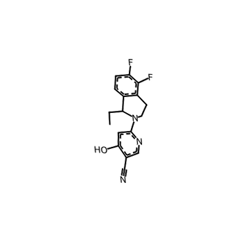 CCC1c2ccc(F)c(F)c2CCN1c1cc(O)c(C#N)cn1